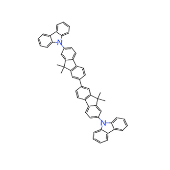 CC1(C)c2cc(-c3ccc4c(c3)C(C)(C)c3cc(-n5c6ccccc6c6ccccc65)ccc3-4)ccc2-c2ccc(-n3c4ccccc4c4ccccc43)cc21